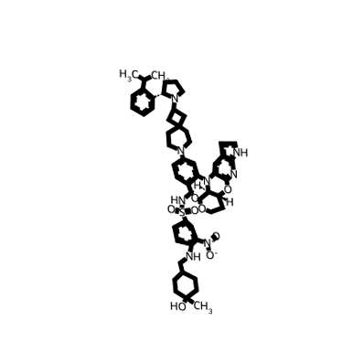 CC(C)c1ccccc1[C@@H]1CCCN1C1CC2(CCN(c3ccc(C(=O)NS(=O)(=O)c4ccc(NCC5CCC(C)(O)CC5)c([N+](=O)[O-])c4)c(N4c5cc6cc[nH]c6nc5O[C@@H]5CCOC[C@H]54)c3)CC2)C1